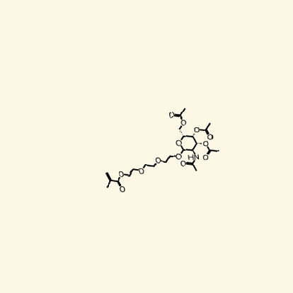 C=C(C)C(=O)OCCOCCOCCOC1O[C@H](COC(C)=O)[C@H](OC(C)=O)[C@H](OC(C)=O)[C@H]1NC(C)=O